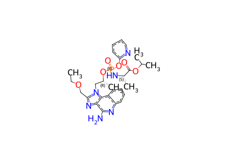 CCOCc1nc2c(N)nc3ccccc3c2n1C[C@@H](C)O[P@](=O)(N[C@@H](C)C(=O)OC(C)C)Oc1ccccn1